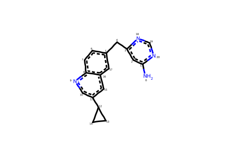 Nc1cc(Cc2ccc3ncc(C4CC4)cc3c2)ncn1